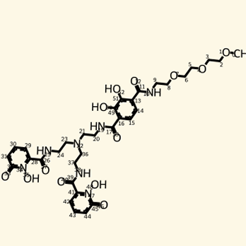 COCCOCCOCCNC(=O)c1ccc(C(=O)NCCN(CCNC(=O)c2cccc(=O)n2O)CCNC(=O)c2cccc(=O)n2O)c(O)c1O